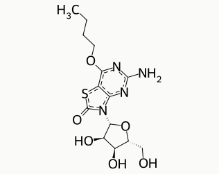 CCCCOc1nc(N)nc2c1sc(=O)n2[C@@H]1O[C@H](CO)[C@@H](O)[C@H]1O